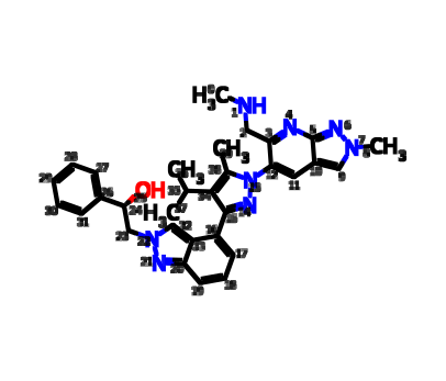 CNCc1nc2nn(C)cc2cc1-n1nc(-c2cccc3nn(C[C@H](O)c4ccccc4)cc23)c(C(C)C)c1C